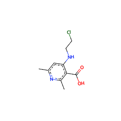 Cc1cc(NCCCl)c(C(=O)O)c(C)n1